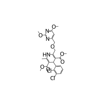 COC(=O)C1=C(C)NC(COCc2cc(OC)nc(OC)n2)=C(C(=O)OC)C1c1cccc(Cl)c1Cl